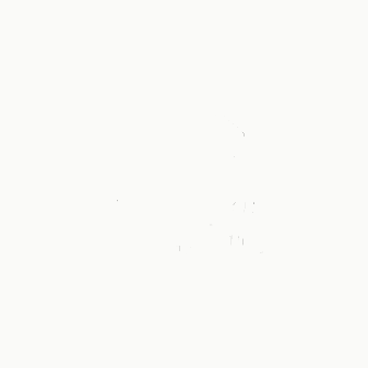 C[C](C)([BiH2])C(C1CCCCC1)C1CCCCC1